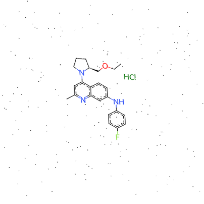 CCOC[C@@H]1CCCN1c1cc(C)nc2cc(Nc3ccc(F)cc3)ccc12.Cl